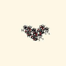 Cc1ccccc1[P+](Cc1cc([N+](=O)[O-])cc([N+](=O)[O-])c1)(c1ccccc1C)c1ccccc1C.Cc1ccccc1[P+](Cc1cc([N+](=O)[O-])cc([N+](=O)[O-])c1)(c1ccccc1C)c1ccccc1C.Cc1ccccc1[P+](Cc1cc([N+](=O)[O-])cc([N+](=O)[O-])c1)(c1ccccc1C)c1ccccc1C.O=P([O-])([O-])[O-]